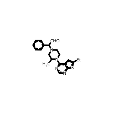 CCc1cc2c(N3CCN(C(C=O)c4ccccc4)CC3C)ncnc2s1